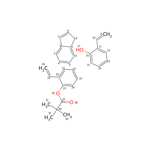 C1=Cc2ccccc2C1.C=Cc1ccccc1O.C=Cc1ccccc1OC(=O)C(C)(C)C